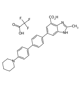 Cc1nc2c(C(=O)O)cc(-c3ccc(-c4ccc(N5CCCCC5)cc4)cc3)cc2[nH]1.O=C(O)C(F)(F)F